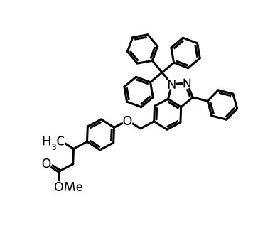 COC(=O)CC(C)c1ccc(OCc2ccc3c(-c4ccccc4)nn(C(c4ccccc4)(c4ccccc4)c4ccccc4)c3c2)cc1